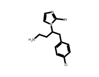 CC(C)c1nccn1C(CCN)Cc1ccc(Cl)cc1